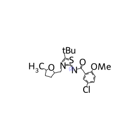 COc1ccc(Cl)cc1C(=O)/N=c1\sc(C(C)(C)C)cn1CC1CCC(C)O1